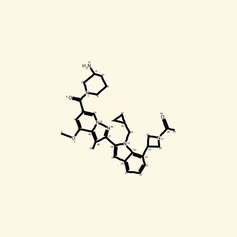 COc1cc(C(=O)N2CCCC(N)C2)cn2nc(-c3cc4cccc(C5CN(C(C)=O)C5)c4n3CC3CC3)c(C)c12